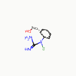 N=C(N)N(Cl)c1ccccc1.O=[N+]([O-])O